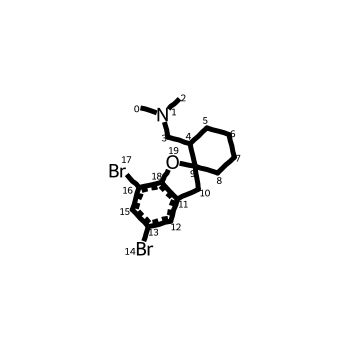 CN(C)CC1CCCCC12Cc1cc(Br)cc(Br)c1O2